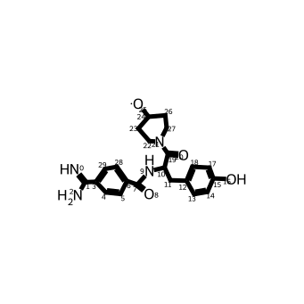 N=C(N)c1ccc(C(=O)NC(Cc2ccc(O)cc2)C(=O)N2CCC([O])CC2)cc1